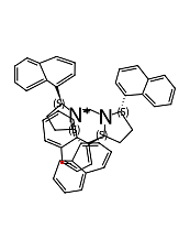 C(N1[C@H](c2cccc3ccccc23)CC[C@H]1c1cccc2ccccc12)=[N+]1[C@H](c2cccc3ccccc23)CC[C@H]1c1cccc2ccccc12